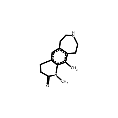 Cc1c2c(cc3c1N(C)C(=O)CC3)CCNCC2